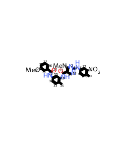 CNc1nc(Nc2ccc(C)c([N+](=O)[O-])c2)ncc1C(=O)Nc1cc(NC(=O)c2cccc(OC)c2)ccc1C